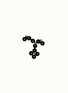 c1ccc([Si](c2ccccc2)(c2ccccc2)c2ccc(-c3ccc(N(c4ccc(-c5ccc6oc7ccccc7c6c5)cc4)c4ccc5sc6ccccc6c5c4)cc3)cc2)cc1